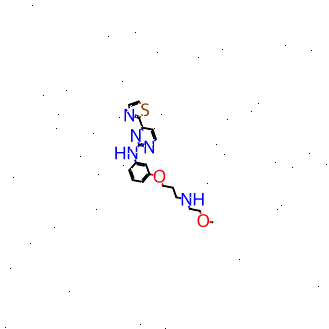 COCCNCCCOc1cccc(Nc2nccc(-c3nccs3)n2)c1